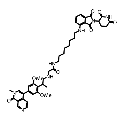 COc1cc(-c2cn(C)c(=O)c3cnccc23)cc(OC)c1C(C)CNCC(=O)NCCCCCCCCNc1cccc2c1C(=O)N(C1CCC(=O)NC1=O)C2=O